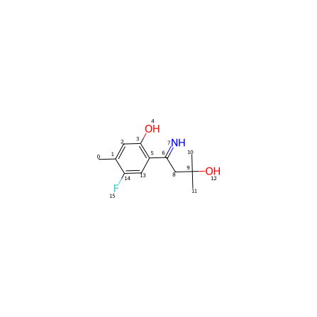 Cc1cc(O)c(C(=N)CC(C)(C)O)cc1F